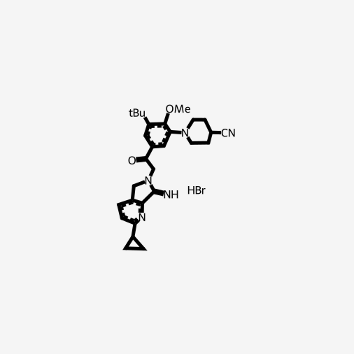 Br.COc1c(N2CCC(C#N)CC2)cc(C(=O)CN2Cc3ccc(C4CC4)nc3C2=N)cc1C(C)(C)C